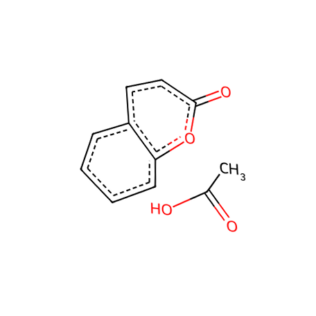 CC(=O)O.O=c1ccc2ccccc2o1